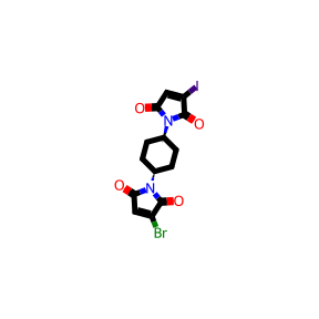 O=C1C=C(Br)C(=O)N1[C@H]1CC[C@H](N2C(=O)C=C(I)C2=O)CC1